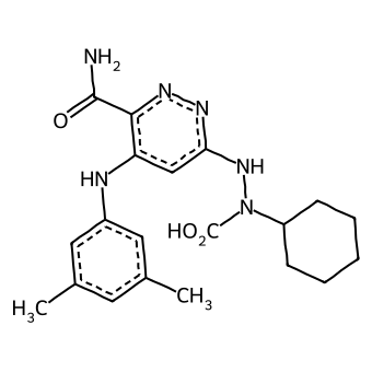 Cc1cc(C)cc(Nc2cc(NN(C(=O)O)C3CCCCC3)nnc2C(N)=O)c1